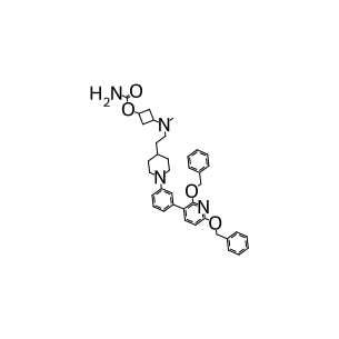 CN(CCC1CCN(c2cccc(-c3ccc(OCc4ccccc4)nc3OCc3ccccc3)c2)CC1)C1CC(OC(N)=O)C1